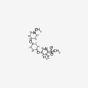 Cc1cc(OC2CCC(OC3CCN(C)CC3)CC2)cnc1S(C)(=O)=O